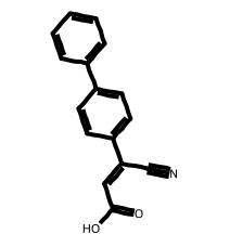 N#CC(=CC(=O)O)c1ccc(-c2ccccc2)cc1